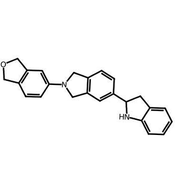 c1ccc2c(c1)CC(c1ccc3c(c1)CN(c1ccc4c(c1)COC4)C3)N2